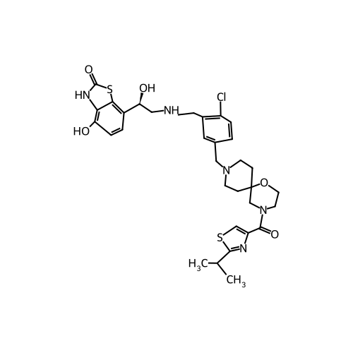 CC(C)c1nc(C(=O)N2CCOC3(CCN(Cc4ccc(Cl)c(CCNC[C@H](O)c5ccc(O)c6[nH]c(=O)sc56)c4)CC3)C2)cs1